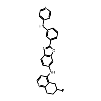 FC1CCc2nccc(Nc3ccc4nc(-c5cccc(Nc6ccncc6)c5)oc4c3)c2C1